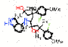 COc1ccc(C(C)(C)CC(O)(C(CC(C)(CC(O)(C=O)C(F)(F)F)c2ccc(OC)cc2F)Nc2cccc3[nH]ncc23)C(F)(F)F)c(F)c1